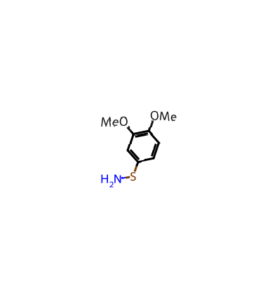 COc1ccc(SN)cc1OC